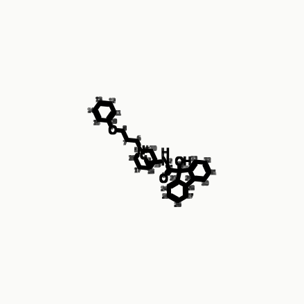 O=C(NC1C[N+]2(CCCOc3ccccc3)CCC1CC2)C1(O)c2ccccc2-c2ccccc21